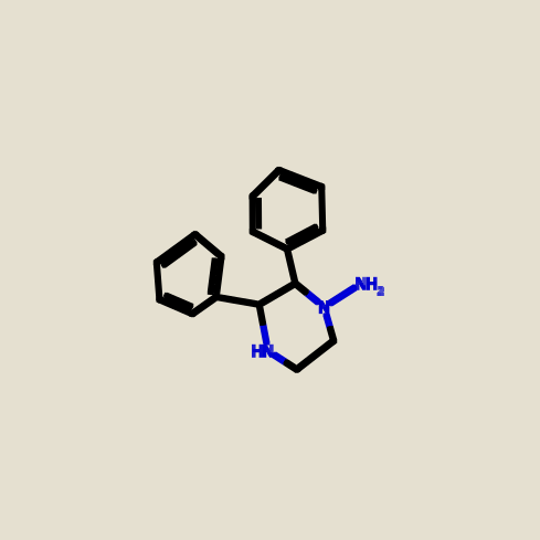 NN1CCNC(c2ccccc2)C1c1ccccc1